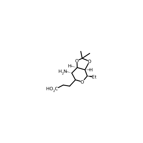 CC[C@H]1OC(CCC(=O)O)[C@H](N)[C@H]2OC(C)(C)O[C@H]21